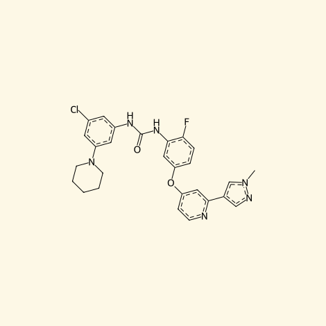 Cn1cc(-c2cc(Oc3ccc(F)c(NC(=O)Nc4cc(Cl)cc(N5CCCCC5)c4)c3)ccn2)cn1